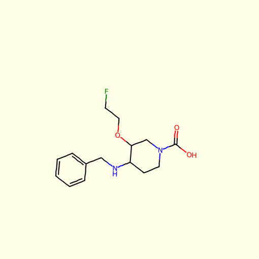 O=C(O)N1CCC(NCc2ccccc2)C(OCCF)C1